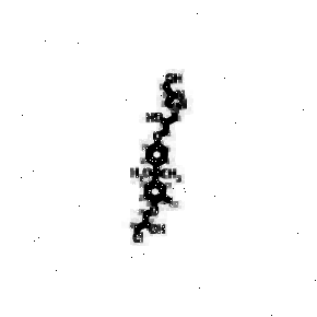 CC(C)(c1ccc(OCC(O)Cn2cc(CO)nn2)cc1)c1ccc(OCC(O)CCl)c(I)c1